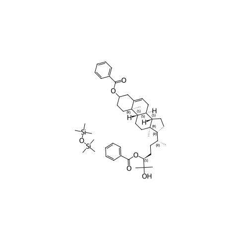 C[C@H](CC[C@H](OC(=O)c1ccccc1)C(C)(C)O)[C@H]1CC[C@H]2[C@@H]3CC=C4CC(OC(=O)c5ccccc5)CC[C@]4(C)[C@H]3CC[C@]12C.C[Si](C)(C)O[Si](C)(C)C